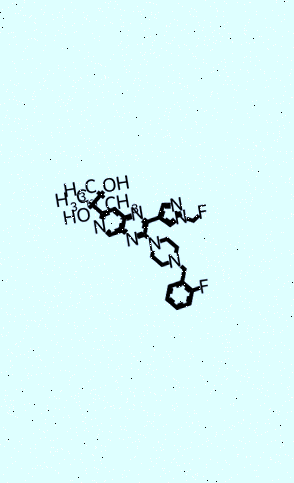 CC(C)(O)[C@@](C)(O)c1cc2nc(-c3cnn(CF)c3)c(N3CCN(Cc4ccccc4F)CC3)nc2cn1